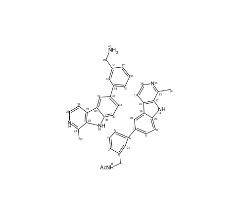 CC(=O)NCc1cccc(-c2ccc3[nH]c4c(C)nccc4c3c2)c1.Cc1nccc2c1[nH]c1ccc(-c3cccc(CN)c3)cc12